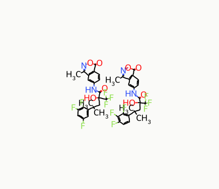 Cc1noc(=O)c2ccc(NC(=O)C(O)(CC(C)(C)c3cc(F)cc(F)c3F)C(F)(F)F)cc12.Cc1noc(=O)c2ccc(NC(=O)C(O)(CC(C)(C)c3ccc(F)c(F)c3F)C(F)(F)F)cc12